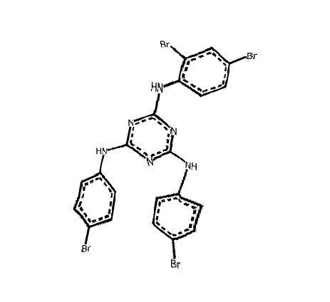 Brc1ccc(Nc2nc(Nc3ccc(Br)cc3)nc(Nc3ccc(Br)cc3Br)n2)cc1